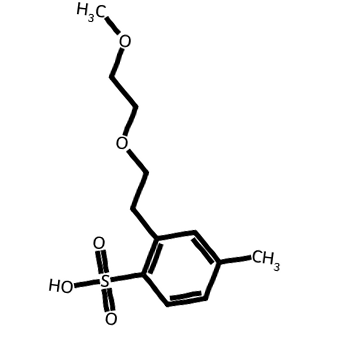 COCCOCCc1cc(C)ccc1S(=O)(=O)O